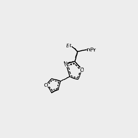 CCCC(CC)c1nc(-c2ccoc2)co1